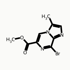 COC(=O)c1cn2c(C)cnc2c(Br)n1